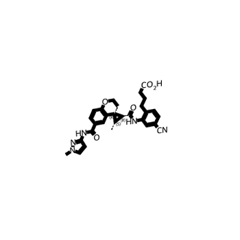 C[C@H]1[C@@H](C(=O)Nc2cc(C#N)ccc2CCCC(=O)O)[C@@]12CCOc1ccc(C(=O)Nc3ccn(C)n3)cc12